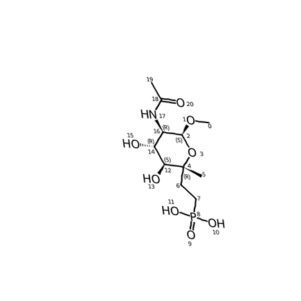 CO[C@H]1O[C@](C)(CCP(=O)(O)O)[C@@H](O)[C@H](O)[C@H]1NC(C)=O